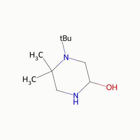 CC(C)(C)N1CC(O)NCC1(C)C